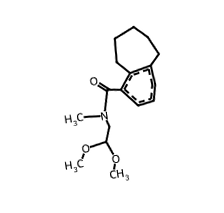 COC(CN(C)C(=O)c1cccc2c1CCCCC2)OC